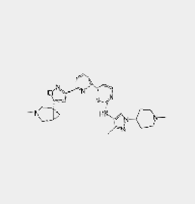 Cc1nn(C2CCN(C)CC2)cc1Nc1nccc(-c2cccc(-c3cc([C@]45CC4CN(C)C5)on3)n2)n1